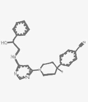 N#Cc1ccc(C2(F)CCN(c3cc(NCC(O)c4ccccc4)ncn3)CC2)cc1